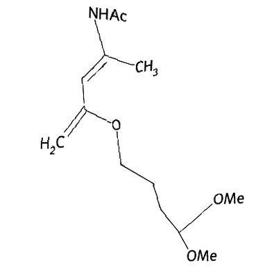 C=C(/C=C(\C)NC(C)=O)OCCCC(OC)OC